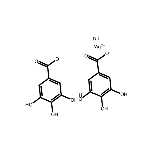 O=C([O-])c1cc(O)c(O)c(O)c1.O=C([O-])c1cc(O)c(O)c(O)c1.[Mg+2].[Nd]